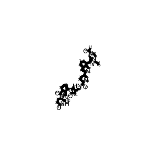 CCc1nc(-c2cccc3cc(-c4ccc(C(=O)NCC5CC(=O)N(c6cccc7c6CN(C6CCC(=O)NC6=O)C7=O)C5)nc4)ncc23)c2n1CCN(C(C)=O)C2